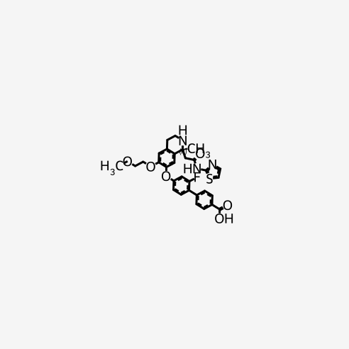 COCCOc1cc2c(cc1Oc1ccc(-c3ccc(C(=O)O)cc3)c(F)c1)[C@@](C)(CC(=O)Nc1nccs1)NCC2